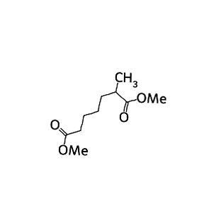 COC(=O)CCCCC(C)C(=O)OC